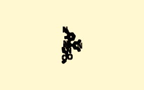 CCOC(=O)c1ccn2nc(-c3cccc(C#N)c3C)c(-c3cc(C)nc(C)c3)c2n1